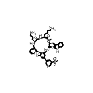 CN1C(=O)[C@H](CCCCN)NC(=O)[C@H](CCCN)NCc2cccnc2Sc2c(Cl)cc(-c3cncc(S(C)(=O)=O)c3)cc2CNC(=O)[C@@H]1Cc1c[nH]c2ccccc12